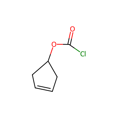 O=C(Cl)OC1CC=CC1